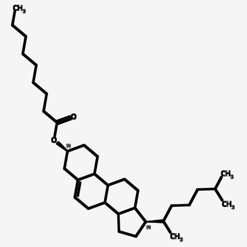 CCCCCCCCC(=O)O[C@H]1CCC2C(=CCC3C2CCC2C3CC[C@@H]2C(C)CCCC(C)C)C1